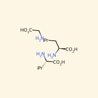 CC(C)C[C@H](N)C(=O)O.CC(C)[C@H](N)C(=O)O.NCC(=O)O